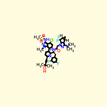 CN(C)c1nn(CC(=O)N[C@@H](Cc2cc(F)cc(F)c2)c2nc(C#CC(C)(C)O)ccc2-c2ccc(Cl)c3c(NS(C)(=O)=O)nn(C)c23)c2c1[C@H]1C[C@H]1C2(F)F